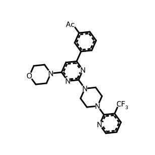 CC(=O)c1cccc(-c2cc(N3CCOCC3)nc(N3CCN(c4ncccc4C(F)(F)F)CC3)n2)c1